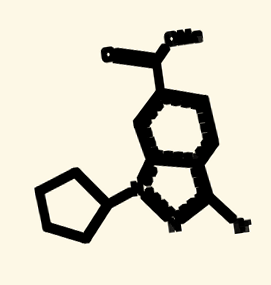 COC(=O)c1ccc2c(Br)nn(C3CCCC3)c2c1